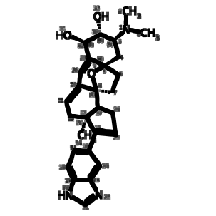 CN(C)[C@H]1C[C@@]23CC[C@@]4(O2)C(=CC[C@]2(C)C(c5ccc6[nH]cnc6c5)=CCC24)C=C3[C@@H](O)[C@@H]1O